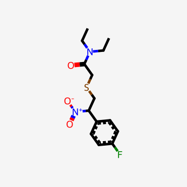 CCN(CC)C(=O)CSCC(c1ccc(F)cc1)[N+](=O)[O-]